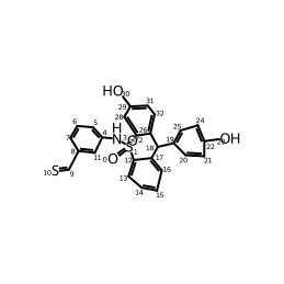 O=S(=O)(Nc1cccc(C=S)c1)c1ccccc1C(c1ccc(O)cc1)c1ccc(O)cc1